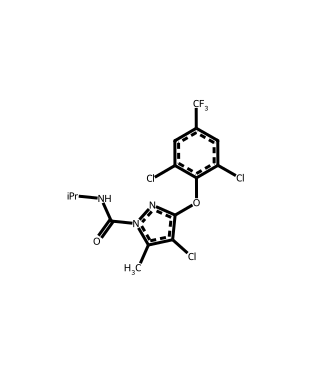 Cc1c(Cl)c(Oc2c(Cl)cc(C(F)(F)F)cc2Cl)nn1C(=O)NC(C)C